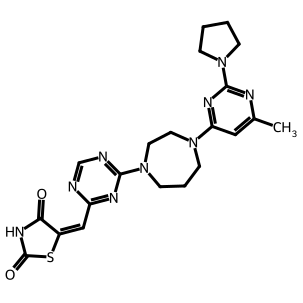 Cc1cc(N2CCCN(c3ncnc(C=C4SC(=O)NC4=O)n3)CC2)nc(N2CCCC2)n1